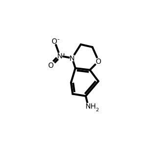 Nc1ccc2c(c1)OCCN2[N+](=O)[O-]